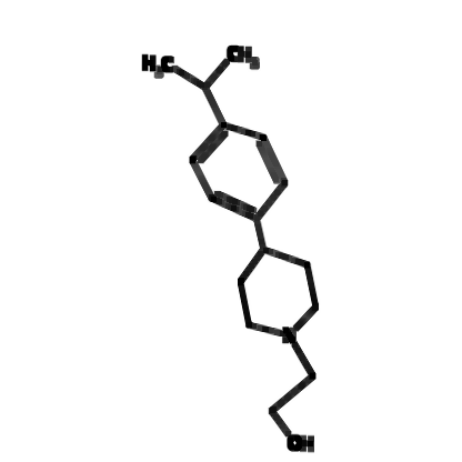 CC(C)c1ccc(C2CCN(CCO)CC2)cc1